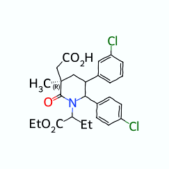 CCOC(=O)C(CC)N1C(=O)[C@@](C)(CC(=O)O)CC(c2cccc(Cl)c2)C1c1ccc(Cl)cc1